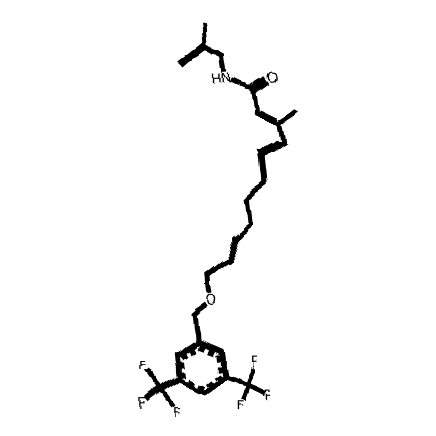 C=C(C)CNC(=O)C=C(C)C=CCCCCCCOCc1cc(C(F)(F)F)cc(C(F)(F)F)c1